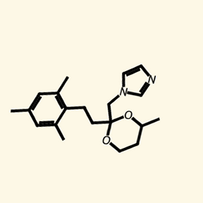 Cc1cc(C)c(CCC2(Cn3ccnc3)OCCC(C)O2)c(C)c1